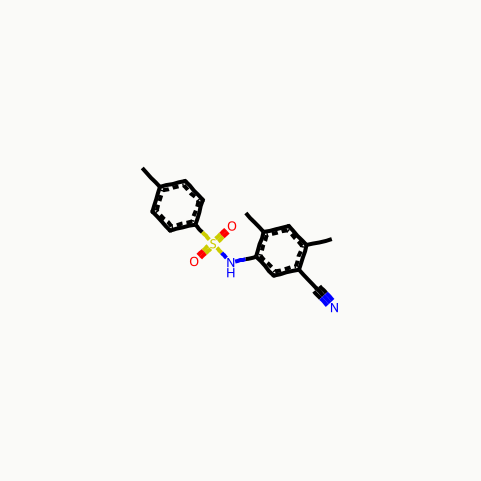 Cc1ccc(S(=O)(=O)Nc2cc(C#N)c(C)cc2C)cc1